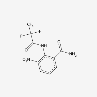 NC(=O)c1cccc([N+](=O)[O-])c1NC(=O)C(F)(F)C(F)(F)F